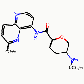 COc1ccc2nccc(NC(=O)C3CCC(NC(=O)O)CO3)c2n1